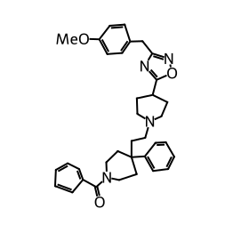 COc1ccc(Cc2noc(C3CCN(CCC4(c5ccccc5)CCN(C(=O)c5ccccc5)CC4)CC3)n2)cc1